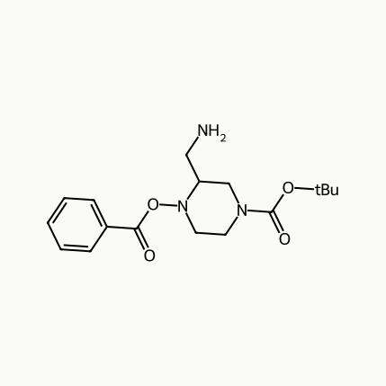 CC(C)(C)OC(=O)N1CCN(OC(=O)c2ccccc2)C(CN)C1